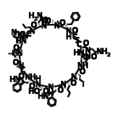 CCCC[C@H]1C(=O)N(C)[C@@H](CCCC)C(=O)N[C@@H](C(C)C)C(=O)N[C@H](C(=O)NCC(N)=O)CSCC(=O)N[C@@H](CCc2ccccc2)C(=O)N(C)[C@@H](C)C(=O)N[C@@H](CC(N)=O)C(=O)N(CCC)CC(=O)N[C@@H](Cc2cnc[nH]2)C(=O)N[C@@H](CC(C)C)C(=O)N(C)CC(=O)N[C@@H](Cc2c[nH]c3ccccc23)C(=O)N[C@@H](CO)C(=O)N[C@@H](Cc2c[nH]c3ccccc23)C(=O)N1C